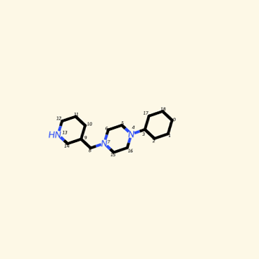 C1CCC(N2CCN(CC3CCCNC3)CC2)CC1